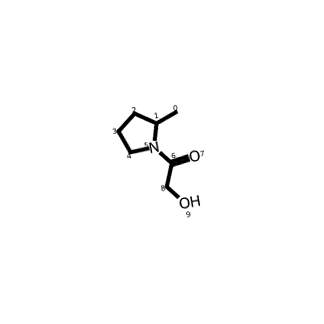 CC1CCCN1C(=O)CO